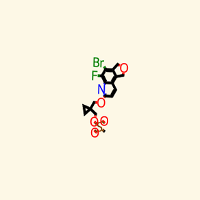 CS(=O)(=O)OCC1(COc2ccc3c4c(c(Br)c(F)c3n2)COC4)CC1